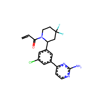 C=CC(=O)N1CCC(F)(F)CC1c1cc(Cl)cc(-c2ccnc(N)n2)c1